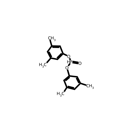 Cc1cc(C)cc(O[PH](=O)Oc2cc(C)cc(C)c2)c1